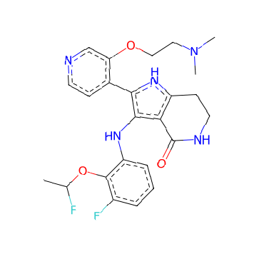 CC(F)Oc1c(F)cccc1Nc1c(-c2ccncc2OCCN(C)C)[nH]c2c1C(=O)NCC2